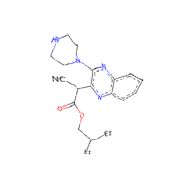 CCC(CC)COC(=O)C(C#N)c1nc2ccccc2nc1N1CCNCC1